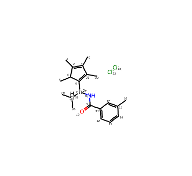 CC1=C(C)C(C)[C]([Ti+2]([NH]C(=O)c2cccc(C)c2)[SiH](C)C)=C1C.[Cl-].[Cl-]